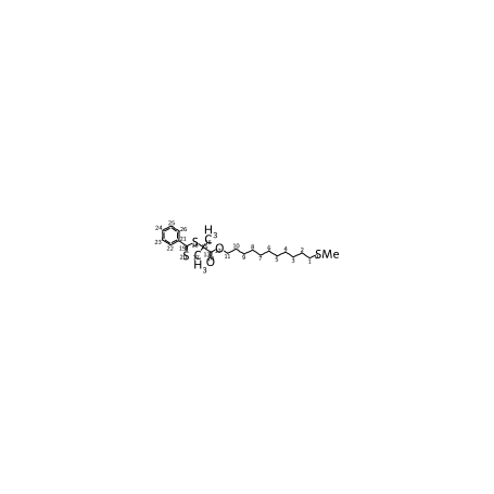 CSCCCCCCCCCCCOC(=O)C(C)(C)SC(=S)c1ccccc1